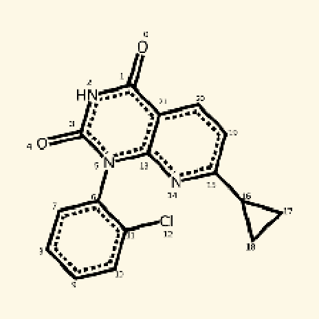 O=c1[nH]c(=O)n(-c2ccccc2Cl)c2nc(C3CC3)ccc12